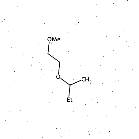 CCC(C)OCCOC